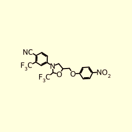 N#Cc1ccc(N2CC(COc3ccc([N+](=O)[O-])cc3)OC2C(F)(F)F)cc1C(F)(F)F